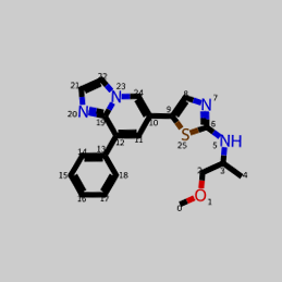 COCC(C)Nc1ncc(-c2cc(-c3ccccc3)c3nccn3c2)s1